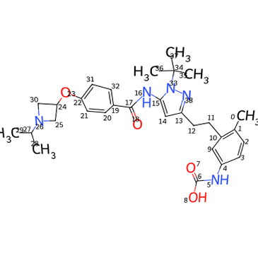 Cc1ccc(NC(=O)O)cc1CCc1cc(NC(=O)c2ccc(OC3CN(C(C)C)C3)cc2)n(C(C)(C)C)n1